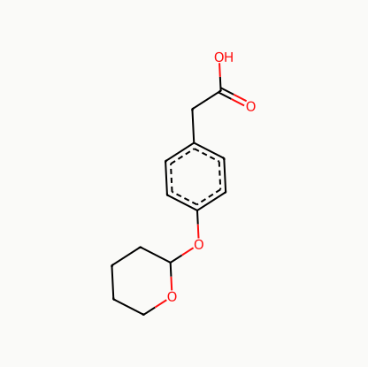 O=C(O)Cc1ccc(OC2CCCCO2)cc1